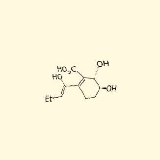 CC/C=C(\O)C1=C(C(=O)O)[C@H](O)[C@@H](O)CC1